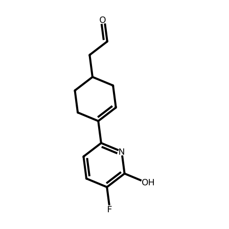 O=CCC1CC=C(c2ccc(F)c(O)n2)CC1